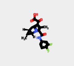 Cc1c(C(=O)C(=O)O)c2n(c1C(=O)Nc1ccc(F)c(F)c1)[C@@H]1[C@H](C)[C@@H]1C2